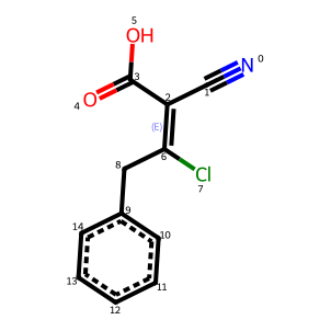 N#C/C(C(=O)O)=C(\Cl)Cc1ccccc1